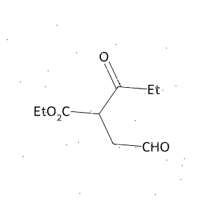 CCOC(=O)C(CC=O)C(=O)CC